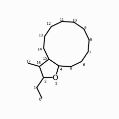 CCC1OC2CCCCCCCCCCC2C1C